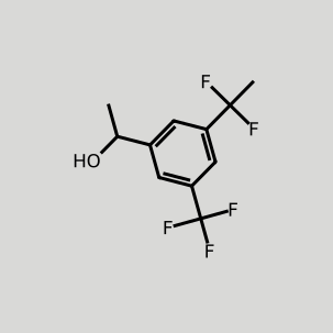 CC(O)c1cc(C(C)(F)F)cc(C(F)(F)F)c1